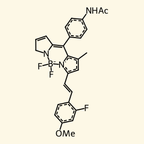 COc1ccc(/C=C/c2cc(C)c3n2[B-](F)(F)N2CC=CC2=C3c2ccc(NC(C)=O)cc2)c(F)c1